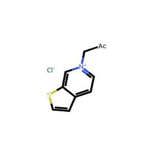 CC(=O)C[n+]1ccc2ccsc2c1.[Cl-]